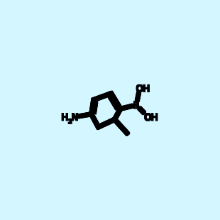 CC1CC(N)=CC=C1B(O)O